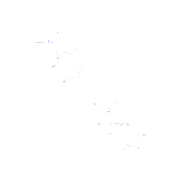 CN(C)c1ccc(C#C[Si](C)(C)c2ccccc2)cc1